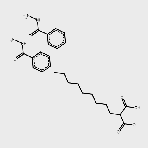 CCCCCCCCCC(C(=O)O)C(=O)O.NNC(=O)c1ccccc1.NNC(=O)c1ccccc1